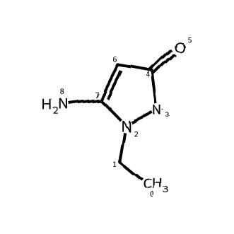 CCN1[N]C(=O)C=C1N